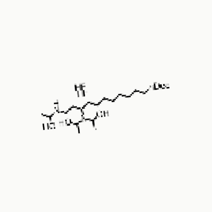 CCCCCCCCCCCCCCCCCCC(CCNC(C)O)N(C(C)O)C(C)O.F.F